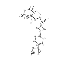 O=C1CO[C@H]2CCN(C(=O)N3CC(c4ccc(C5(CO)CC5)cc4)C3)C[C@H]2N1